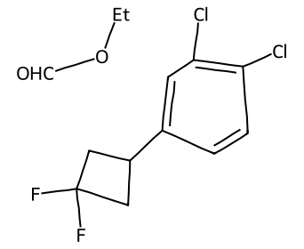 CCOC=O.FC1(F)CC(c2ccc(Cl)c(Cl)c2)C1